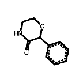 O=C1NCCOC1c1ccccc1